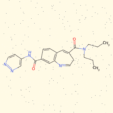 CCCN(CCC)C(=O)C1=Cc2ccc(C(=O)Nc3ccnnc3)cc2N=CC1